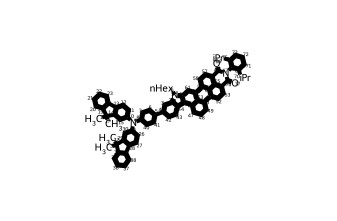 CCCCCCn1c2cc(-c3ccc(N(c4ccc5c(c4)C(C)(C)c4ccccc4-5)c4ccc5c(c4)C(C)(C)c4ccccc4-5)cc3)ccc2c2c3cccc4c5ccc6c7c(ccc(c(cc21)c43)c75)C(=O)N(c1c(C(C)C)cccc1C(C)C)C6=O